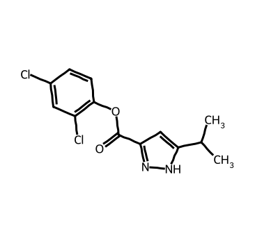 CC(C)c1cc(C(=O)Oc2ccc(Cl)cc2Cl)n[nH]1